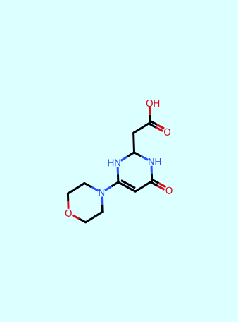 O=C(O)CC1NC(=O)C=C(N2CCOCC2)N1